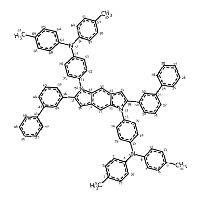 Cc1ccc(N(c2ccc(C)cc2)c2ccc(-n3c(-c4cccc(-c5ccccc5)c4)cc4cc5c(cc(-c6cccc(-c7ccccc7)c6)n5-c5ccc(N(c6ccc(C)cc6)c6ccc(C)cc6)cc5)cc43)cc2)cc1